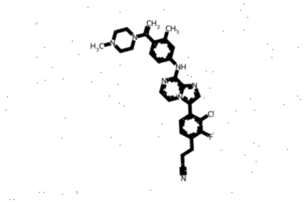 C=C(c1ccc(Nc2nccn3c(-c4ccc(CCC#N)c(F)c4Cl)cnc23)cc1C)N1CCN(C)CC1